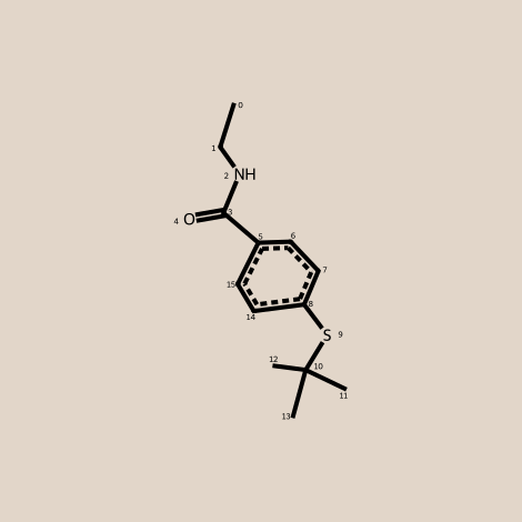 CCNC(=O)c1ccc(SC(C)(C)C)cc1